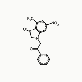 O=C(CN1C[S+]([O-])c2c1cc([N+](=O)[O-])cc2C(F)(F)F)c1ccccc1